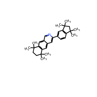 CC1(C)CCC(C)(C)c2cc3cc(-c4ccc5c(c4)C(C)(C)CC5(C)C)ncc3cc21